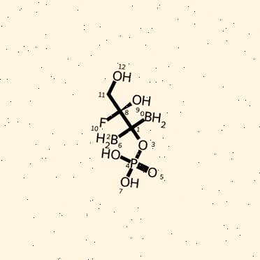 BC(B)(OP(=O)(O)O)[C@](O)(F)CO